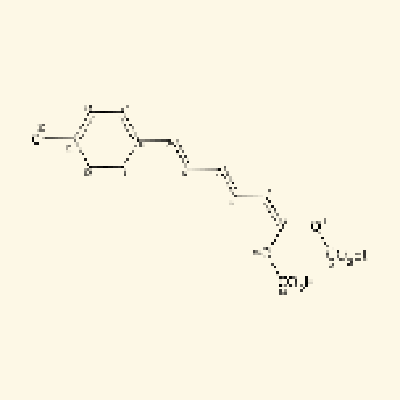 CCOC(=O)OC(=CC=CC=Cc1ccc(Cl)cc1)OC(=O)O